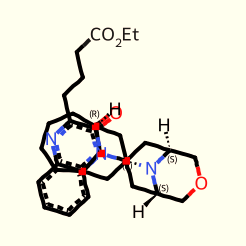 CCOC(=O)CCCc1nc2ccccc2n(C2C[C@H]3COC[C@H](C2)N3[C@@H]2CC3CCCC[C@H](C3)C2)c1=O